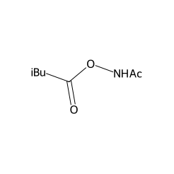 CCC(C)C(=O)ONC(C)=O